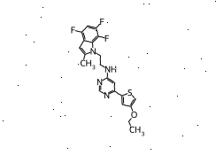 CCOc1csc(-c2cc(NCCn3c(C)cc4c(F)cc(F)c(F)c43)ncn2)c1